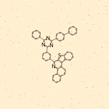 c1ccc(-c2ccc(-c3nc(-c4ccccc4)nc(-c4cccc(-c5nc6c7ccccc7ccc6c6c5sc5ccccc56)c4)n3)cc2)cc1